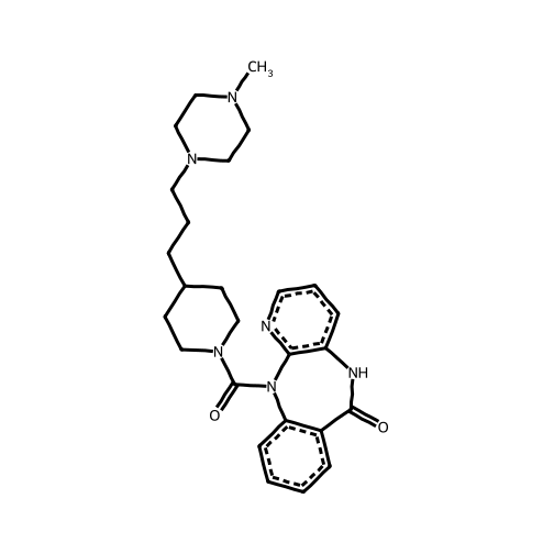 CN1CCN(CCCC2CCN(C(=O)N3c4ccccc4C(=O)Nc4cccnc43)CC2)CC1